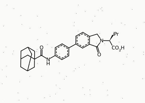 CC(C)[C@@H](C(=O)O)N1Cc2ccc(-c3ccc(NC(=O)C45CC6CC(CC(C6)C4)C5)cc3)cc2C1=O